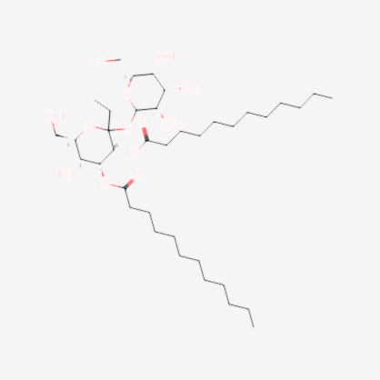 CCCCCCCCCCCC(=O)O[C@H]1[C@H](O)[C@@H](CO)OC(CC)(OC2O[C@H](CO)[C@H](O)[C@H](O)[C@H]2O)[C@@H]1OC(=O)CCCCCCCCCCC